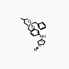 CC(C)CN(Cc1ccc(N[C@@H]2CC[C@H](C#N)C2)cc1)S(=O)(=O)Cc1ccccc1